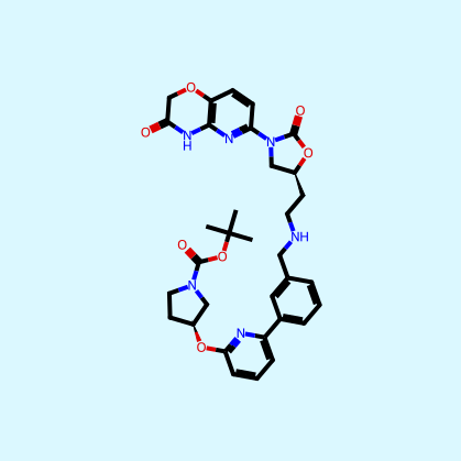 CC(C)(C)OC(=O)N1CC[C@H](Oc2cccc(-c3cccc(CNCC[C@H]4CN(c5ccc6c(n5)NC(=O)CO6)C(=O)O4)c3)n2)C1